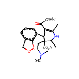 COC(=O)C1=C(C)NC(C)C(CCN(C)C=O)(C(=O)O)C1c1cccc2c1OOC2